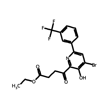 CCOC(=O)CCC(=O)c1nc(-c2cccc(C(F)(F)F)c2)cc(Br)c1O